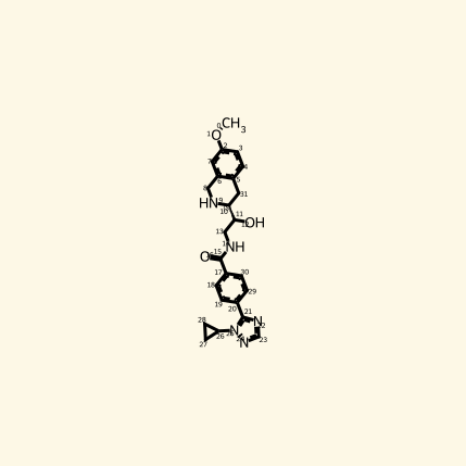 COc1ccc2c(c1)CN[C@H](C(O)CNC(=O)c1ccc(-c3ncnn3C3CC3)cc1)C2